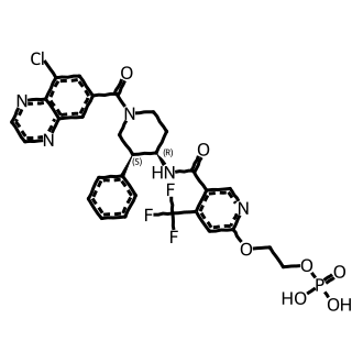 O=C(N[C@@H]1CCN(C(=O)c2cc(Cl)c3nccnc3c2)C[C@@H]1c1ccccc1)c1cnc(OCCOP(=O)(O)O)cc1C(F)(F)F